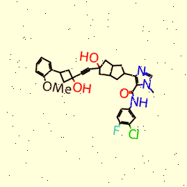 COc1ccccc1C1CC(O)(C#CC2(O)CC3CC(c4ncn(C)c4C(=O)Nc4ccc(F)c(Cl)c4)CC3C2)C1